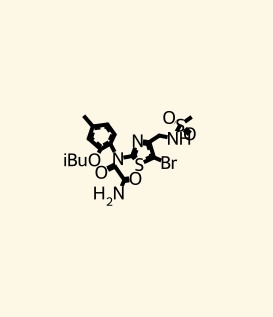 Cc1ccc(N(C(=O)C(N)=O)c2nc(CNS(C)(=O)=O)c(Br)s2)c(OCC(C)C)c1